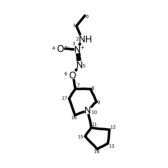 CCN/[N+]([O-])=N/OC1CCN(C2CCCC2)CC1